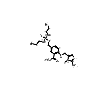 COC(=O)c1cc(COP(=O)(NCCBr)NCCBr)ccc1OCc1cnc([N+](=O)[O-])n1C